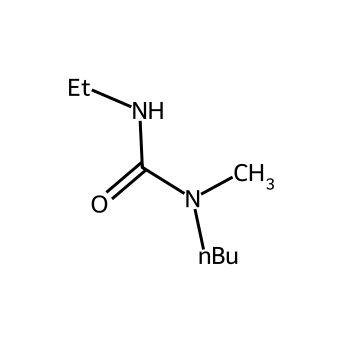 CCCCN(C)C(=O)NCC